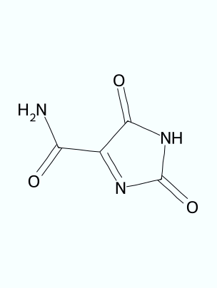 NC(=O)C1=NC(=O)NC1=O